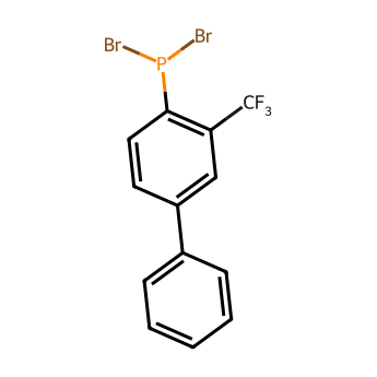 FC(F)(F)c1cc(-c2ccccc2)ccc1P(Br)Br